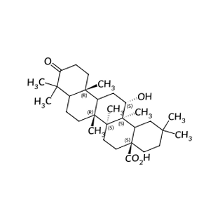 CC1(C)CC[C@]2(C(=O)O)CC[C@@]3(C)[C@]4(C)CCC5C(C)(C)C(=O)CC[C@]5(C)C4C[C@H](O)[C@@]3(C)C2C1